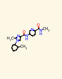 CNC(=O)c1ccc(NC(=O)c2cn(-c3ccccc3C)c(C)n2)cn1